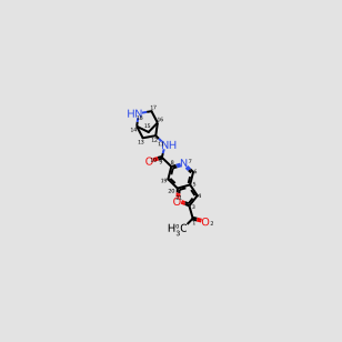 CC(=O)c1cc2cnc(C(=O)NC3CC4CC3CN4)cc2o1